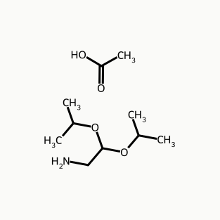 CC(=O)O.CC(C)OC(CN)OC(C)C